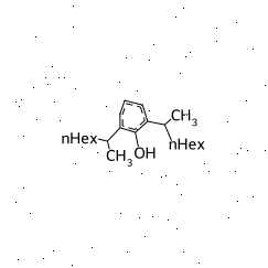 CCCCCCC(C)c1cccc(C(C)CCCCCC)c1O